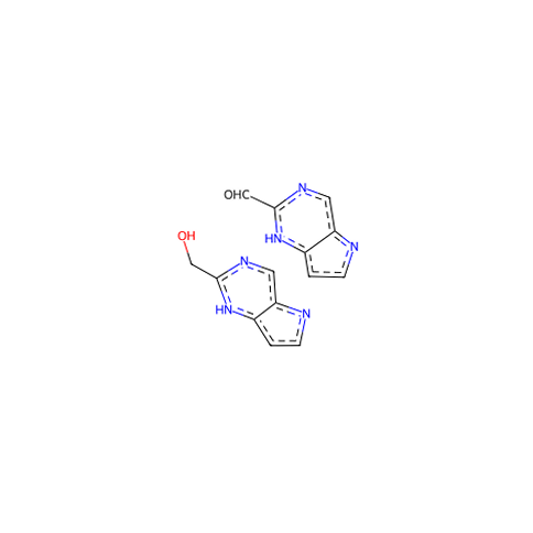 O=Cc1ncc2nccc-2[nH]1.OCc1ncc2nccc-2[nH]1